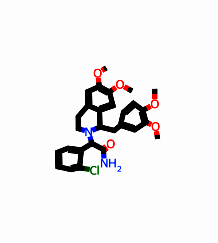 COc1ccc(CC2c3cc(OC)c(OC)cc3CCN2C(C(N)=O)c2ccccc2Cl)cc1OC